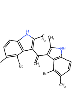 C=C(c1c(C)[nH]c2ccc(C)c(CC)c12)c1c(C)[nH]c2ccc(C)c(CC)c12